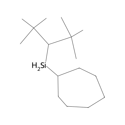 CC(C)(C)C([SiH2]C1CCCCCC1)C(C)(C)C